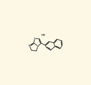 Br.C1=C(c2ccc3ccccc3c2)N2CCN=C2S1